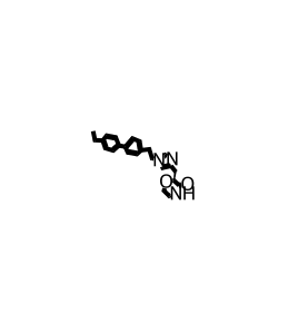 CCc1ccc(-c2ccc(CCn3cnc(C[C@@H]4OCCNC4=O)c3)cc2)cc1